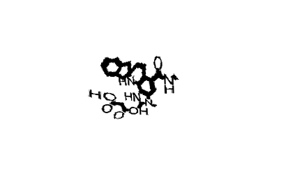 CNC(=O)c1cc2c(c3c1CCC1(Cc4ccccc4C1)N3)NC(C)N2C.O=C(O)CC(=O)O